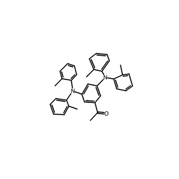 CC(=O)c1cc(N(c2ccccc2C)c2ccccc2C)cc(N(c2ccccc2C)c2ccccc2C)c1